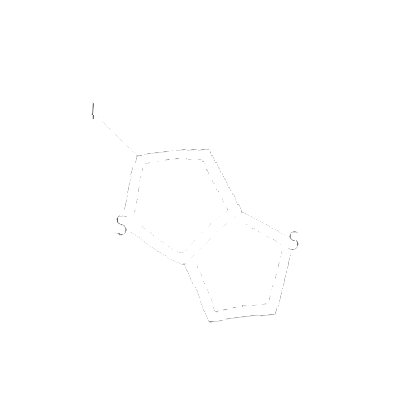 Ic1cc2sccc2s1